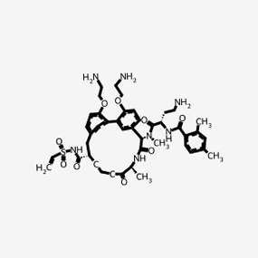 C=CS(=O)(=O)NC(=O)[C@H]1CCCC(=O)[C@H](C)NC(=O)[C@@H](N(C)C(=O)[C@H](CCN)NC(=O)c2ccc(C)cc2C)c2ccc(OCCN)c(c2)-c2cc(ccc2OCCN)C1